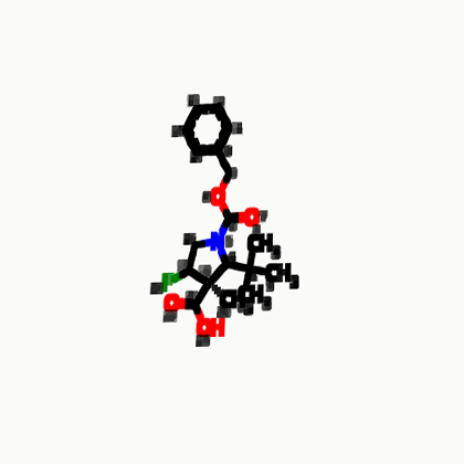 CC(C)(C)C1N(C(=O)OCc2ccccc2)CC(F)[C@]1(C)C(=O)O